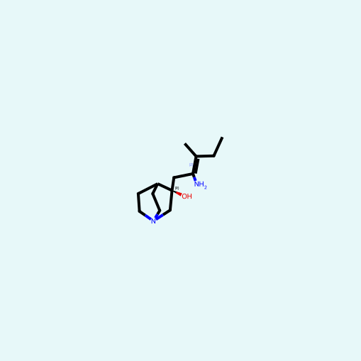 CC/C(C)=C(\N)C[C@]1(O)CN2CCC1CC2